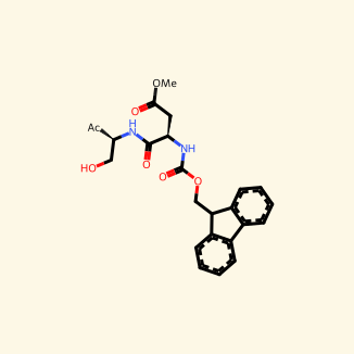 COC(=O)C[C@@H](NC(=O)OCC1c2ccccc2-c2ccccc21)C(=O)N[C@@H](CO)C(C)=O